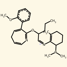 CCCC(/C=N\C1=C(C)CCCC1N(C)C)OC1=NC=CCC=C1c1ccccc1OC